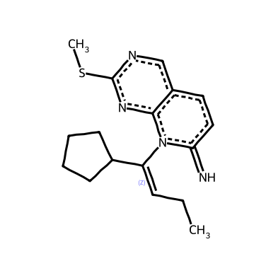 CC/C=C(/C1CCCC1)n1c(=N)ccc2cnc(SC)nc21